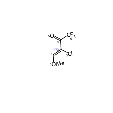 CO/C=C(\Cl)C(=O)C(F)(F)F